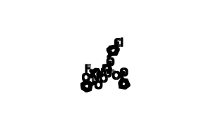 O=C(OC[C@@H]1O[C@H](n2cc(F)c(=O)n(C(=O)c3ccccc3)c2=O)CC1OCc1ccc(Cl)cc1)c1ccccc1